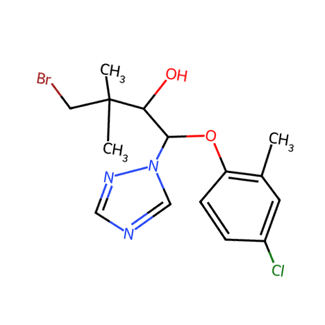 Cc1cc(Cl)ccc1OC(C(O)C(C)(C)CBr)n1cncn1